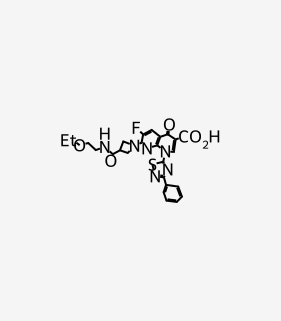 CCOCCNC(=O)C1CN(c2nc3c(cc2F)c(=O)c(C(=O)O)cn3-c2nc(-c3ccccc3)ns2)C1